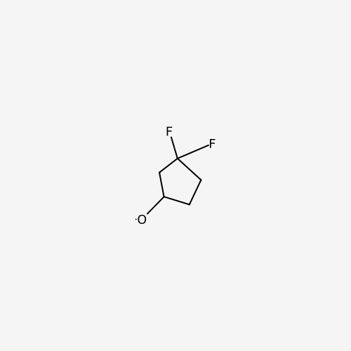 [O]C1CCC(F)(F)C1